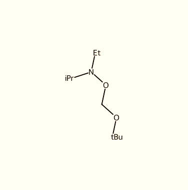 CCN(OCOC(C)(C)C)C(C)C